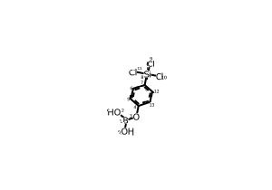 OB(O)Oc1ccc([Si](Cl)(Cl)Cl)cc1